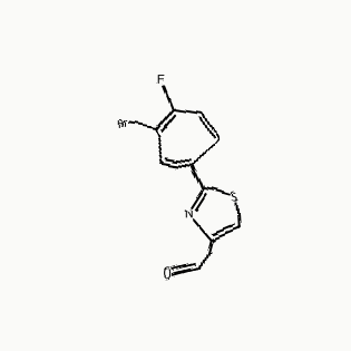 O=Cc1csc(-c2ccc(F)c(Br)c2)n1